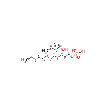 CCCCCCCCCCCCOP(=O)([O-])O.CCCCO.[Na+]